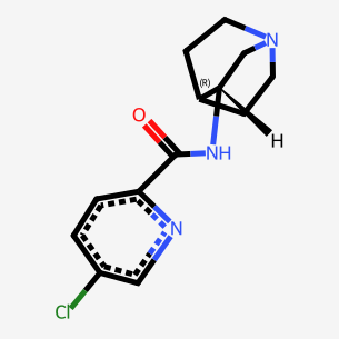 O=C(N[C@H]1CN2CCC1CC2)c1ccc(Cl)cn1